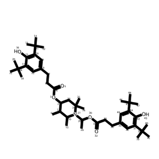 CC1C(OC(=O)CCc2cc(C(C)(C)C)c(O)c(C(C)(C)C)c2)CC(C)(C)N(C(C)OC(=O)CCc2cc(C(C)(C)C)c(O)c(C(C)(C)C)c2)C1C